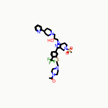 CC(=O)N1CCN(CCSc2cc(-c3nn(CC(O)CN4CCC(c5ccccn5)CC4)c4c3CN(S(C)(=O)=O)CC4)ccc2C(F)(F)F)CC1